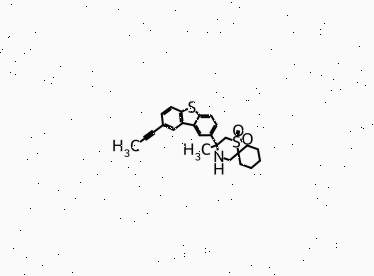 CC#Cc1ccc2sc3ccc(C4(C)CS(=O)(=O)C5(CCCCC5)CN4)cc3c2c1